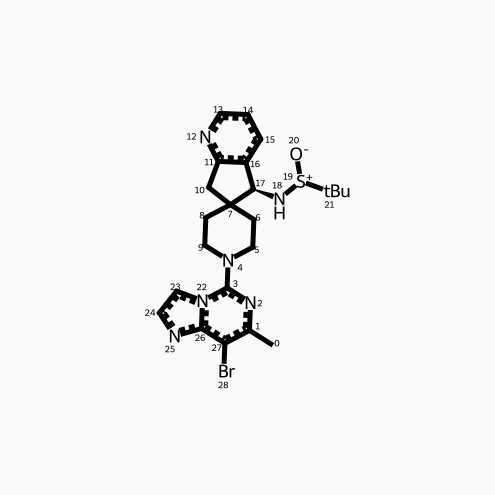 Cc1nc(N2CCC3(CC2)Cc2ncccc2[C@H]3N[S+]([O-])C(C)(C)C)n2ccnc2c1Br